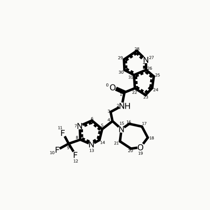 O=C(NCC(c1cnc(C(F)(F)F)nc1)N1CCCOCC1)c1cccc2ncccc12